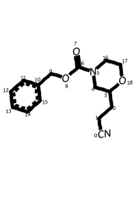 N#CCCC1CN(C(=O)OCc2ccccc2)CCO1